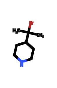 CC(C)(Br)C1CCNCC1